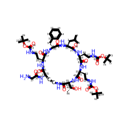 CC(C)C[C@@H]1NC(=O)[C@@H](Cc2ccccc2)NC(=O)[C@H](CCNC(=O)OC(C)(C)C)NC(=O)[C@@H](NC(=O)CN)CCNC(=O)[C@H]([C@@H](C)O)NC(=O)[C@H](CCNC(=O)OC(C)(C)C)NC(=O)[C@H](CCNC(=O)OC(C)(C)C)NC1=O